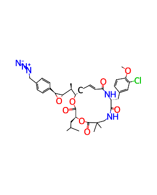 COc1ccc(C[C@H]2NC(=O)/C=C/C[C@@H]([C@H](C)[C@@H]3O[C@H]3c3ccc(CN=[N+]=[N-])cc3)OC(=O)[C@H](CC(C)C)OC(=O)C(C)(C)CNC2=O)cc1Cl